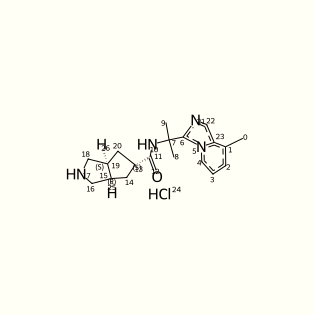 Cc1cccn2c(C(C)(C)NC(=O)[C@@H]3C[C@H]4CNC[C@H]4C3)ncc12.Cl